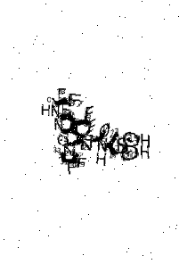 C[C@H](Nc1cc(C(F)F)c(-c2sc(C(=O)NC3CS(O)(O)C3)nc2C(=O)N2CC(F)(F)C[C@@H]2C)cn1)C(F)(F)F